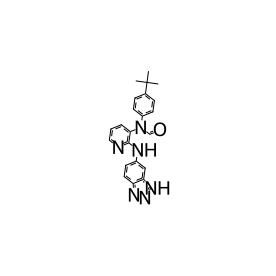 CC(C)(C)c1ccc(N(C=O)c2cccnc2Nc2ccc3nn[nH]c3c2)cc1